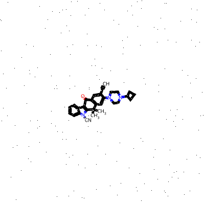 C#Cc1cc2c(cc1N1CCN(C3CCC3)CC1)C(C)(C)c1c(c3ccccc3n1C#N)C2=O